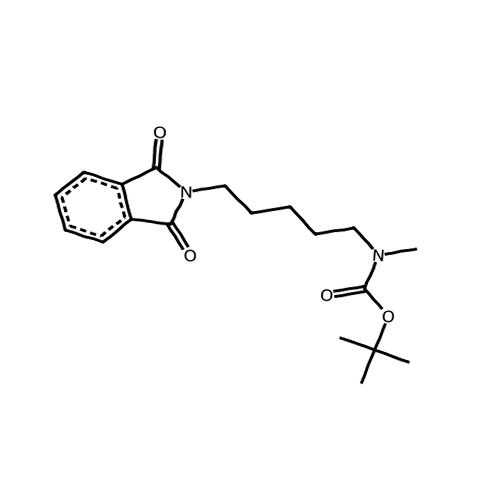 CN(CCCCCN1C(=O)c2ccccc2C1=O)C(=O)OC(C)(C)C